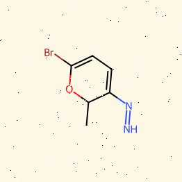 CC1OC(Br)=CC=C1N=N